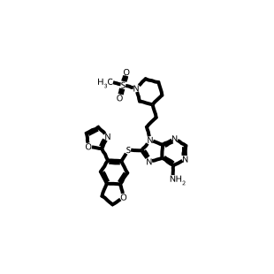 CS(=O)(=O)N1CCCC(CCn2c(Sc3cc4c(cc3-c3ncco3)CCO4)nc3c(N)ncnc32)C1